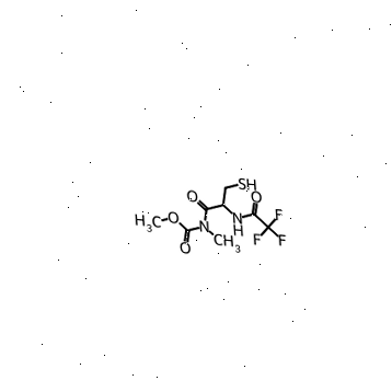 COC(=O)N(C)C(=O)C(CS)NC(=O)C(F)(F)F